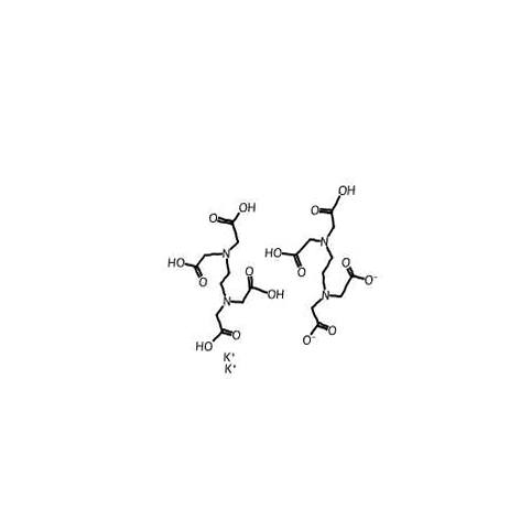 O=C(O)CN(CCN(CC(=O)O)CC(=O)O)CC(=O)O.O=C([O-])CN(CCN(CC(=O)O)CC(=O)O)CC(=O)[O-].[K+].[K+]